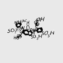 CC(=O)Nc1ccc(/N=N/c2c(SOOO)cc3cc(S(=O)(=O)O)c(/N=N/c4cc(S(=O)(=O)O)ccc4SOOO)c(O)c3c2O)c(S(=O)(=O)O)c1